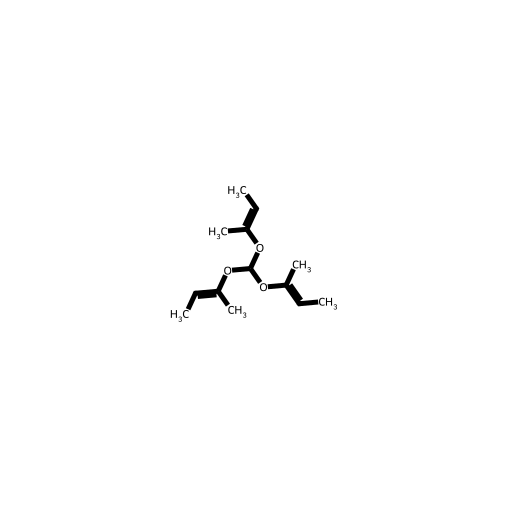 C/C=C(\C)OC(O/C(C)=C/C)O/C(C)=C/C